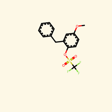 COc1ccc(OS(=O)(=O)C(F)(F)F)c(Cc2ccccc2)c1